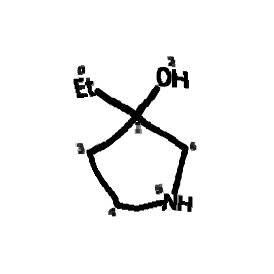 CCC1(O)CCNC1